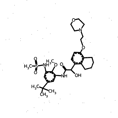 COc1c(NC(=O)C(O)c2ccc(OCCN3CCOCC3)c3c2CCCC3)cc(C(C)(C)C)cc1NS(C)(=O)=O